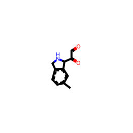 Cc1ccc2c(c1)C(C(=O)C=O)NC2